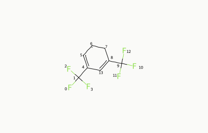 FC(F)(F)C1=[C][CH]CC(C(F)(F)F)=C1